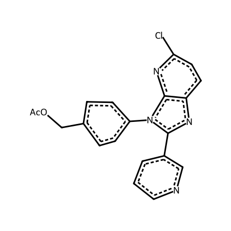 CC(=O)OCc1ccc(-n2c(-c3cccnc3)nc3ccc(Cl)nc32)cc1